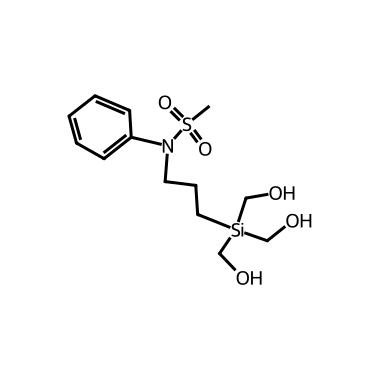 CS(=O)(=O)N(CCC[Si](CO)(CO)CO)c1ccccc1